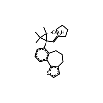 CC1(C)[C@](C)(C(=O)O)[C@@]1(C=C1CCCC1)c1cccc2c1CCCc1ccsc1-2